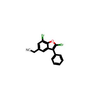 N#CCc1cc(Br)c2oc(Br)c(-c3ccccc3)c2c1